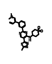 C=C/C(=C\N(C)C)c1cccc(-c2ncc(-c3nnc(C)s3)c(NC3CCS(=O)(=O)CC3)n2)c1